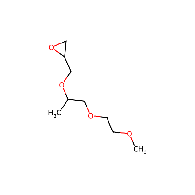 COCCOCC(C)OCC1CO1